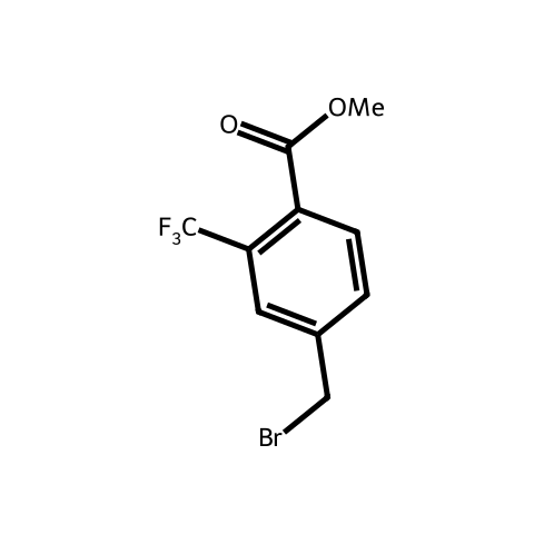 COC(=O)c1ccc(CBr)cc1C(F)(F)F